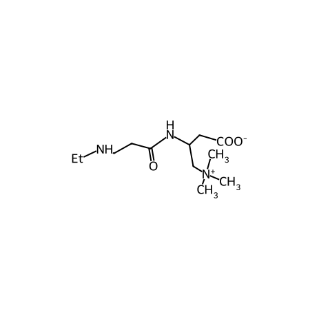 CCNCCC(=O)NC(CC(=O)[O-])C[N+](C)(C)C